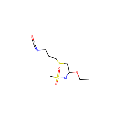 CCOC(CSCCCN=C=O)NS(C)(=O)=O